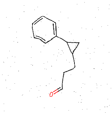 O=CCCC1CC1c1ccccc1